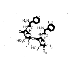 CC1(C)S[C@@H]2[C@H](NC(=O)[C@H](N)C3=CCC=CC3)C(=O)N2[C@H]1C(=O)O.CC1(C)S[C@@H]2[C@H](NC(=O)[C@H](N)C3=CCC=CC3)C(=O)N2[C@H]1C(=O)O.O